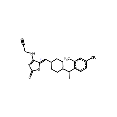 C#CCNC1=NC(=O)S/C1=C\C1CCN(C(C)c2ccc(C(F)(F)F)cc2C(F)(F)F)CC1